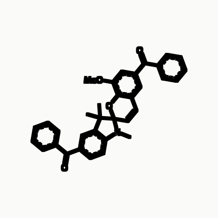 COc1cc(C(=O)c2ccccc2)cc2c1OC1(C=C2)N(C)c2ccc(C(=O)c3ccccc3)cc2C1(C)C